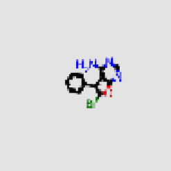 Nc1ncnc2oc(Br)c(-c3ccccc3)c12